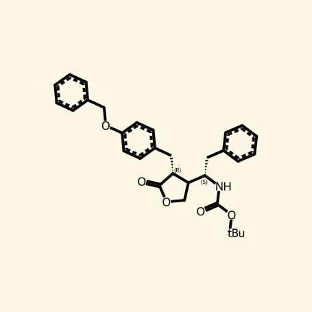 CC(C)(C)OC(=O)N[C@@H](Cc1ccccc1)C1COC(=O)[C@@H]1Cc1ccc(OCc2ccccc2)cc1